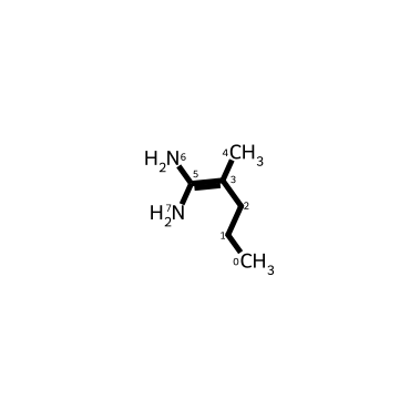 CCCC(C)=C(N)N